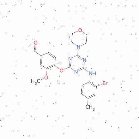 COc1cc(C=O)ccc1Oc1nc(Nc2ccc(C)cc2Br)nc(N2CCOCC2)n1